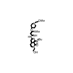 CN/C(=C\C(=N)Nc1cc2ccn(CCO)c(=O)c2c(NC(C)(C)C)n1)OC1CCN(CCOC)CC1